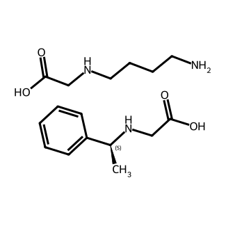 C[C@H](NCC(=O)O)c1ccccc1.NCCCCNCC(=O)O